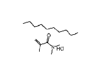 C=C(C)C(=O)N(C)C.CCCCCCCCCC.Cl